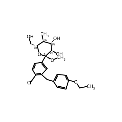 CCOc1ccc(Cc2cc([C@]3(OC)O[C@H](CO)[C@@H](C)[C@H](O)[C@H]3O)ccc2Cl)cc1